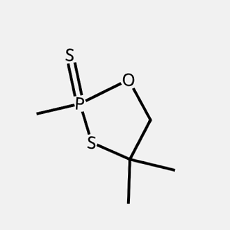 CC1(C)COP(C)(=S)S1